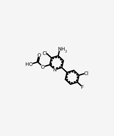 Nc1cc(-c2ccc(F)c(Cl)c2)nc(OC(=O)O)c1Cl